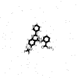 NC(=O)c1ccccc1Nc1nc(-c2cccnc2)nc2ccc(OC(F)(F)F)cc12